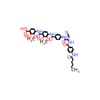 CCCCCC(=O)Nc1ccc(C(=O)N[C@@H](CC#N)C(=O)Nc2ccc(C(=O)Nc3ccc(C(=O)Nc4ccc(C(=O)O)c(O)c4OC)c(O)c3OC)cc2)cc1